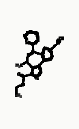 C#Cc1ccc2c(c1)C(c1ccccn1)=N[C@H](C)c1c(C(=O)OCC)ncn1-2